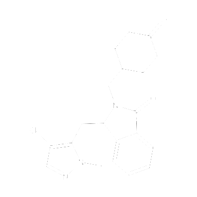 Cn1ncc(Cl)c1CC1c2ccccc2C(=O)N1CC1CCC(=O)CC1